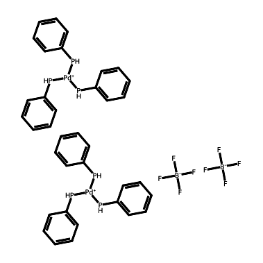 F[B-](F)(F)F.F[B-](F)(F)F.c1ccc([PH][Pd+]([PH]c2ccccc2)[PH]c2ccccc2)cc1.c1ccc([PH][Pd+]([PH]c2ccccc2)[PH]c2ccccc2)cc1